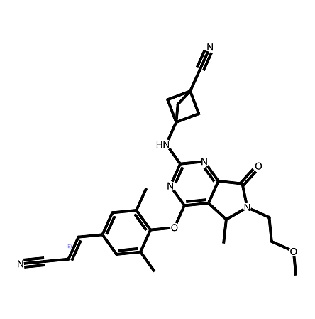 COCCN1C(=O)c2nc(NC34CC(C#N)(C3)C4)nc(Oc3c(C)cc(/C=C/C#N)cc3C)c2C1C